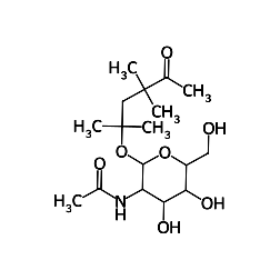 CC(=O)NC1C(OC(C)(C)CC(C)(C)C(C)=O)OC(CO)C(O)C1O